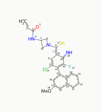 C=CC(=O)NC1CN(/C(S)=C2\C=C(Cl)C(c3cc(OC)cc4ccccc34)=C(F)C2=N)C1